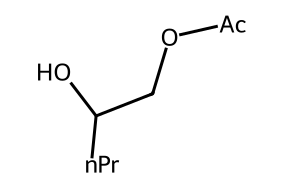 CCCC(O)COC(C)=O